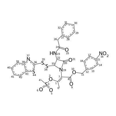 CC(OS(C)(=O)=O)=C(C(=O)OCc1ccc([N+](=O)[O-])cc1)N1C(=O)C(NC(=O)Cc2ccccc2)C1SSc1nc2ccccc2s1